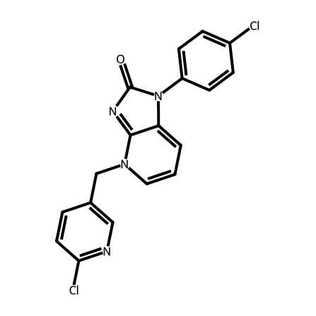 O=c1nc2n(Cc3ccc(Cl)nc3)cccc-2n1-c1ccc(Cl)cc1